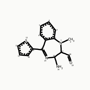 CN1c2ccccc2C(c2cccs2)=NC(N)C1C=O